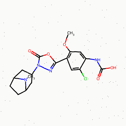 COc1cc(NC(=O)O)c(Cl)cc1-c1nn(C2CC3CCC(C2)N3C)c(=O)o1